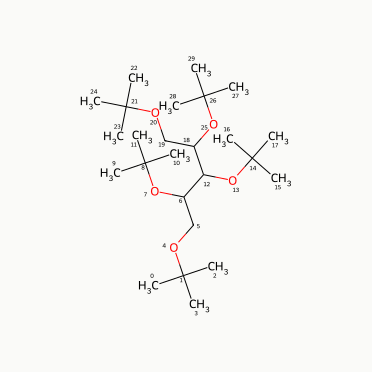 CC(C)(C)OCC(OC(C)(C)C)C(OC(C)(C)C)C(COC(C)(C)C)OC(C)(C)C